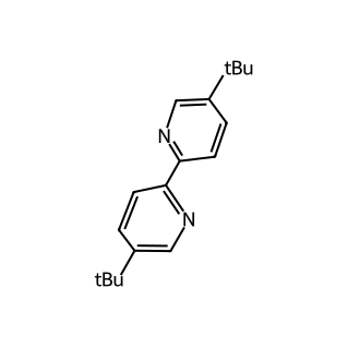 CC(C)(C)c1ccc(-c2ccc(C(C)(C)C)cn2)nc1